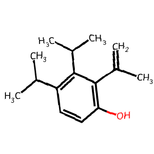 C=C(C)c1c(O)ccc(C(C)C)c1C(C)C